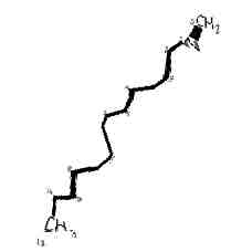 C=NCCCCCCCCCC